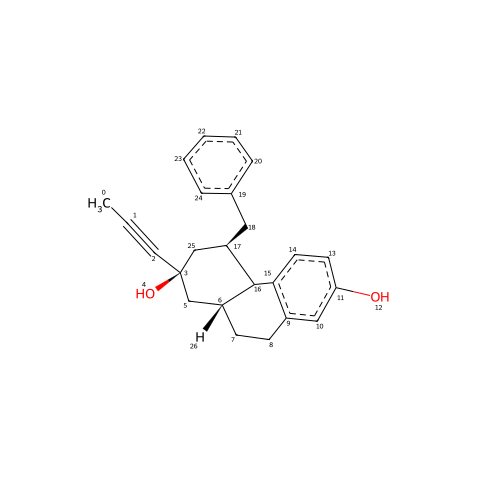 CC#C[C@@]1(O)C[C@H]2CCc3cc(O)ccc3C2[C@H](Cc2ccccc2)C1